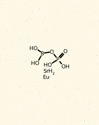 O=P(O)(O)OB(O)O.[Eu].[SrH2]